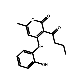 CCCC(=O)c1c(Nc2ccccc2O)cc(C)oc1=O